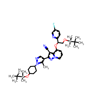 Cc1c(-c2nn3cccc(OC(CO[Si](C)(C)C(C)(C)C)c4ccc(F)cn4)c3c2C#N)cnn1C1CCC(O[Si](C)(C)C(C)(C)C)CC1